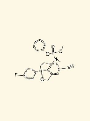 COP(=O)(Oc1ccccc1)N(C)CCCC1(c2ccc(F)cc2)OCc2cc(C#N)ccc21